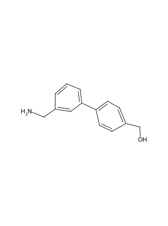 NCc1cccc(-c2ccc(CO)cc2)c1